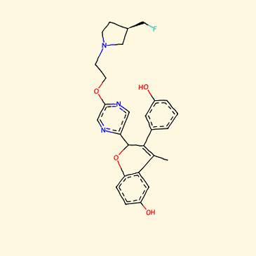 CC1=C(c2cccc(O)c2)C(c2cnc(OCCN3CC[C@@H](CF)C3)cn2)Oc2ccc(O)cc21